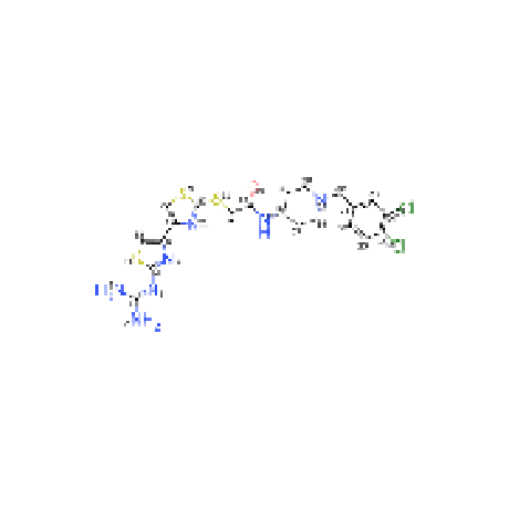 NC(N)=Nc1nc(-c2csc(SCC(=O)NC3CCN(Cc4ccc(Cl)c(Cl)c4)CC3)n2)cs1